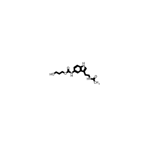 CC(=O)NCCc1c[nH]c2ccc(NC(=O)OCCCO)cc12